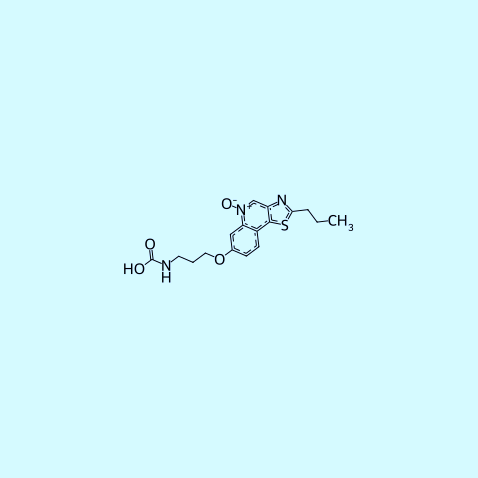 CCCc1nc2c[n+]([O-])c3cc(OCCCNC(=O)O)ccc3c2s1